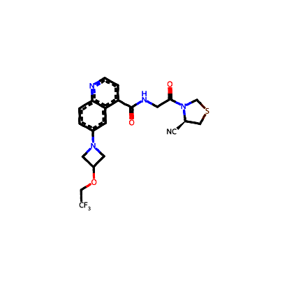 N#C[C@@H]1CSCN1C(=O)CNC(=O)c1ccnc2ccc(N3CC(OCC(F)(F)F)C3)cc12